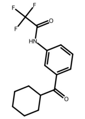 O=C(c1cccc(NC(=O)C(F)(F)F)c1)C1CCCCC1